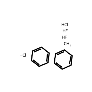 C.Cl.Cl.F.F.c1ccccc1.c1ccccc1